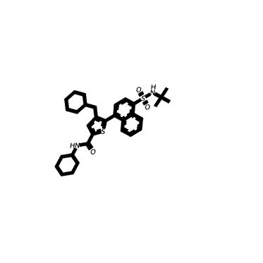 CC(C)(C)NS(=O)(=O)c1ccc(-c2sc(C(=O)NC3CCCCC3)cc2CC2CCCCC2)c2ccccc12